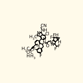 Cn1nc(NCC#N)c2c(Cl)ccc(-c3ccc(C#CC(C)(C)O)nc3C(Cc3cc(F)cc(F)c3)NC(=O)Cn3nc(C(F)F)c4c3C(F)(F)[C@@H]3C[C@H]43)c21